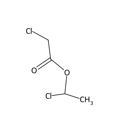 CC(Cl)OC(=O)CCl